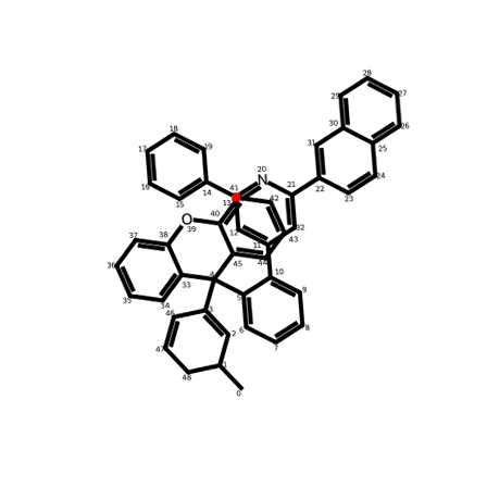 CC1C=C(C2(c3ccccc3-c3cc(-c4ccccc4)nc(-c4ccc5ccccc5c4)c3)c3ccccc3Oc3ccccc32)C=CC1